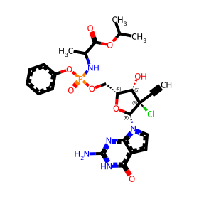 C#C[C@@]1(Cl)[C@@H](O)[C@@H](COP(=O)(NC(C)C(=O)OC(C)C)Oc2ccccc2)O[C@H]1n1ccc2c(=O)[nH]c(N)nc21